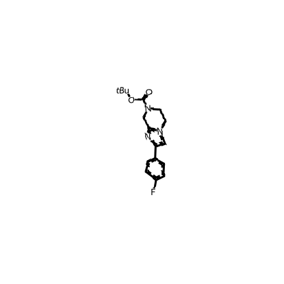 CC(C)(C)OC(=O)N1CCn2cc(-c3ccc(F)cc3)nc2C1